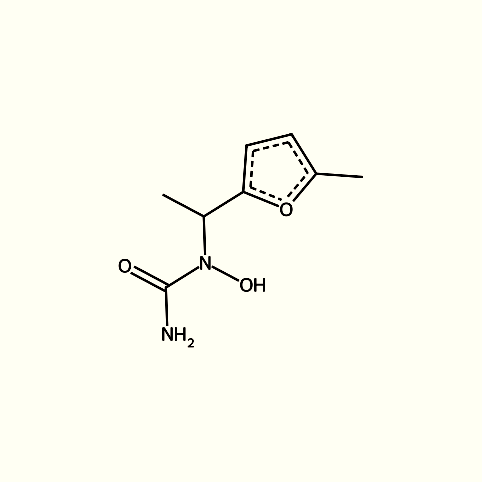 Cc1ccc(C(C)N(O)C(N)=O)o1